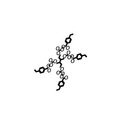 CCc1ccc(C(=O)OOC(=O)OCCC(COC(=O)OOC(=O)c2ccc(CC)cc2)C(CCOC(=O)OOC(=O)c2ccc(CC)cc2)COC(=O)OOC(=O)c2ccc(CC)cc2)cc1